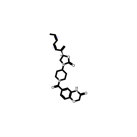 C=C(/C=C\C=C/C)[C@@H]1CN(C2CCN(C(=O)c3ccc4c(c3)NC(=O)CO4)CC2)C(=O)O1